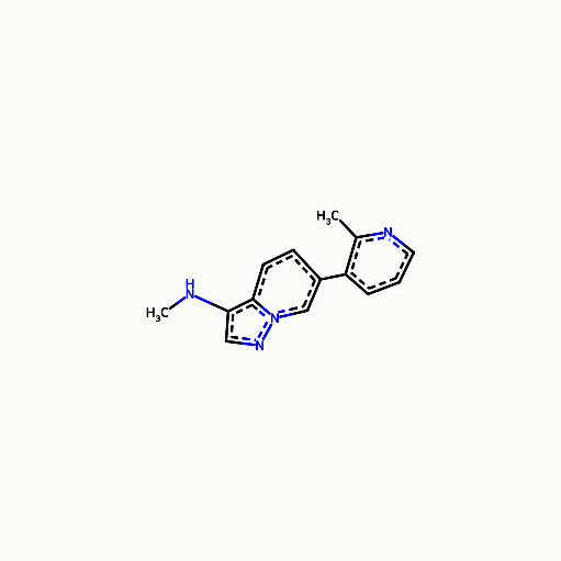 CNc1cnn2cc(-c3cccnc3C)ccc12